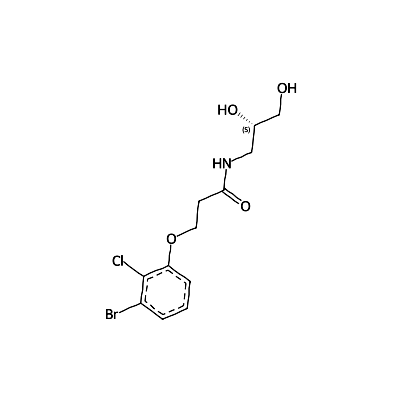 O=C(CCOc1cccc(Br)c1Cl)NC[C@H](O)CO